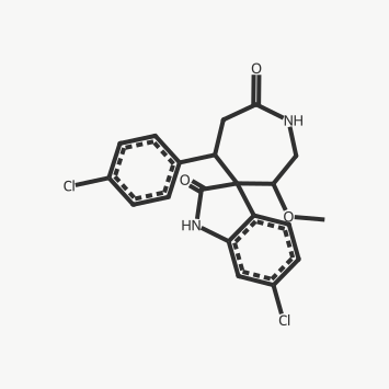 COC1CNC(=O)CC(c2ccc(Cl)cc2)C12C(=O)Nc1cc(Cl)ccc12